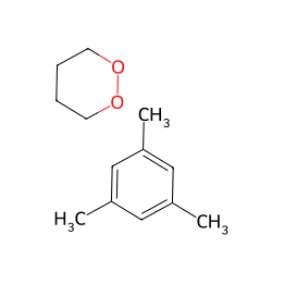 C1CCOOC1.Cc1cc(C)cc(C)c1